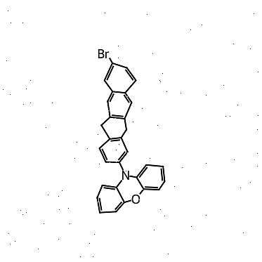 Brc1ccc2cc3c(cc2c1)Cc1ccc(N2c4ccccc4Oc4ccccc42)cc1C3